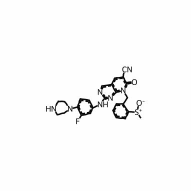 C[S+]([O-])c1ccccc1Cn1c(=O)c(C#N)cc2cnc(Nc3ccc(N4CCNCC4)c(F)c3)nc21